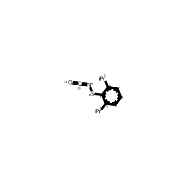 CC(C)c1cccc(C(C)C)c1SN=C=O